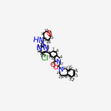 O=C(CN1Cc2ccc(-c3nc(NC4CCOCC4)ncc3Cl)cc2C1=O)N1CCCc2ccccc2C1